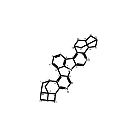 c1cc2c3c4c(ncc3n3c5cnc6c(c5c(c1)c23)C1CC2CC3CC6C23C1)C1CC2CC4CC1C2